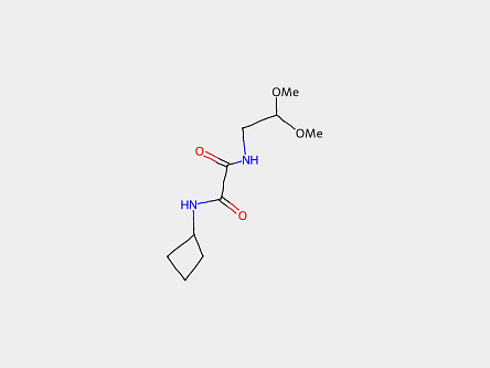 COC(CNC(=O)C(=O)NC1CCC1)OC